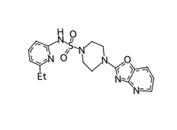 CCc1cccc(NS(=O)(=O)N2CCN(c3nc4ncccc4o3)CC2)n1